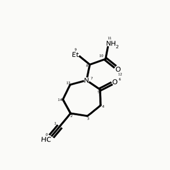 C#CC1CCC(=O)N(C(CC)C(N)=O)CC1